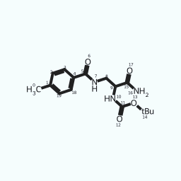 Cc1ccc(C(=O)NCC(NC(=O)OC(C)(C)C)C(N)=O)cc1